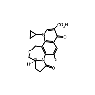 O=C(O)c1cn(C2CC2)c2c3c(c(F)cc2c1=O)N1C(=O)CC[C@H]1COC3